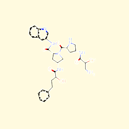 NCC(O)C(=O)N[C@H]1CN[C@H](C(=O)N2C[C@H](NC(=O)C(O)CCc3ccccc3)C[C@H]2C(=O)Nc2cnc3ccccc3c2)C1